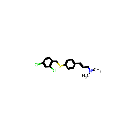 CN(C)CC=Cc1ccc(SCc2ccc(Cl)cc2Cl)cc1